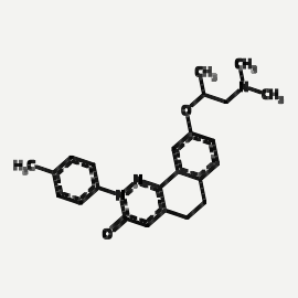 Cc1ccc(-n2nc3c(cc2=O)CCc2ccc(OC(C)CN(C)C)cc2-3)cc1